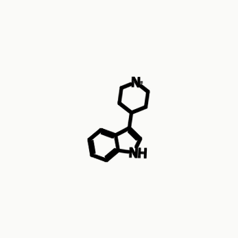 c1ccc2c(C3CC[N]CC3)c[nH]c2c1